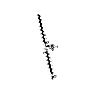 CCCCCCCCCCCCCCCC(=O)O[C@@H](COC(=O)CCCCCCCCCCCSC(C)=O)COP(=O)(O)O